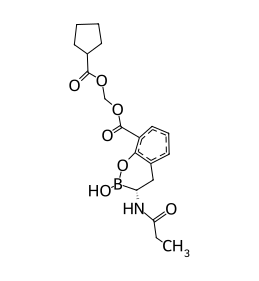 CCC(=O)N[C@H]1Cc2cccc(C(=O)OCOC(=O)C3CCCC3)c2OB1O